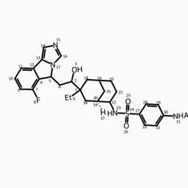 CCC1(C(O)CC2c3c(F)cccc3-c3cncn32)CC2CCC(NS(=O)(=O)c3ccc(NC(C)=O)cc3)[C@H](C2)C1